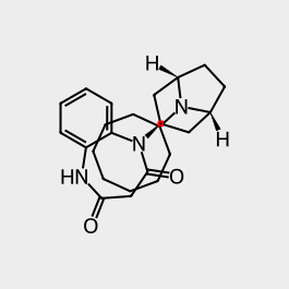 O=C1CC(=O)N([C@@H]2C[C@H]3CC[C@@H](C2)N3C2CCCCCCC2)c2ccccc2N1